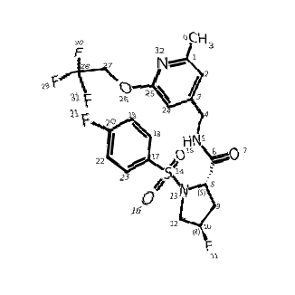 Cc1cc(CNC(=O)[C@@H]2C[C@@H](F)CN2S(=O)(=O)c2ccc(F)cc2)cc(OCC(F)(F)F)n1